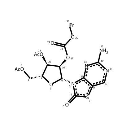 CC(=O)OC[C@H]1O[C@@H](n2c(=O)sc3cnc(N)nc32)[C@H](OC(=O)OC(C)C)[C@@H]1OC(C)=O